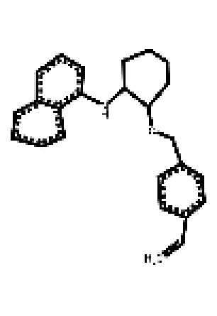 C=Cc1ccc(COC2CCCCC2Nc2cccc3ccccc23)cc1